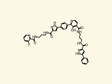 O=C(NCCCNC(=O)c1ccnc(-c2ccc(-c3cc(C(=O)NCCCNC(=O)c4ncccc4F)n[nH]3)cc2)c1O)c1cc(-c2ccccc2)[nH]n1